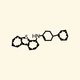 C1=C(Nc2cccc3c2sc2ccccc23)CCC(c2ccccc2)C1